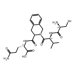 CC(C)[C@H](NC(=O)[C@@H](N)CS)C(=O)N1Cc2ccccc2CC1C(=O)N[C@@H](CCC(N)=O)C(=O)O